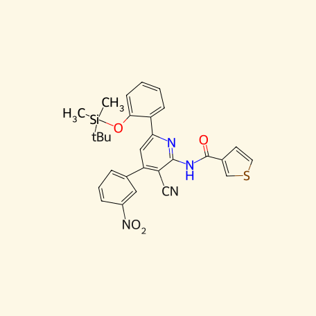 CC(C)(C)[Si](C)(C)Oc1ccccc1-c1cc(-c2cccc([N+](=O)[O-])c2)c(C#N)c(NC(=O)c2ccsc2)n1